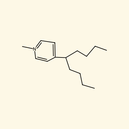 CCCCC(CCCC)c1cc[n+](C)cc1